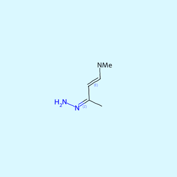 CN/C=C/C(C)=N\N